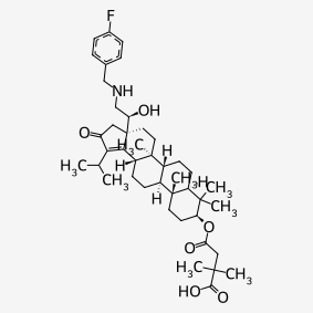 CC(C)C1=C2[C@H]3CC[C@H]4[C@@H](CC[C@H]5C(C)(C)[C@@H](OC(=O)CC(C)(C)C(=O)O)CC[C@]45C)[C@]3(C)CC[C@@]2([C@H](O)CNCc2ccc(F)cc2)CC1=O